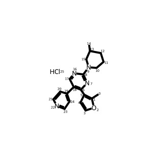 Cc1occc1-c1nc(N2CCCC(C)C2)ncc1-c1ccncc1.Cl